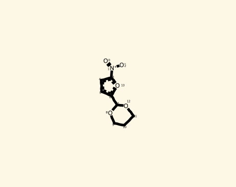 O=[N+]([O-])c1ccc(C2OCCCO2)o1